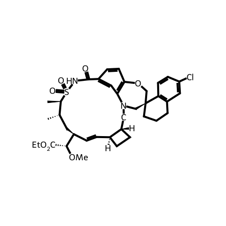 CCOC(=O)[C@@H](OC)[C@@H]1/C=C/[C@@H]2CC[C@H]2CN2C[C@@]3(CCCc4cc(Cl)ccc43)COc3ccc(cc32)C(=O)NS(=O)(=O)[C@H](C)[C@@H](C)C1